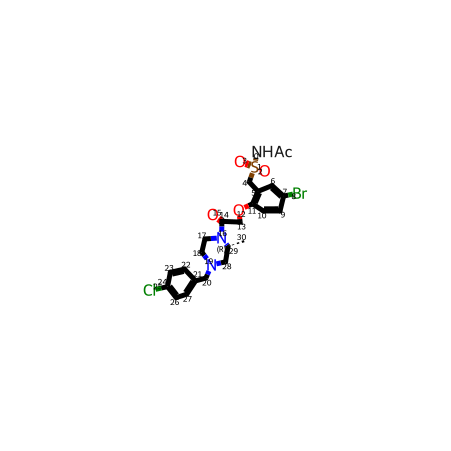 CC(=O)NS(=O)(=O)Cc1cc(Br)ccc1OCC(=O)N1CCN(Cc2ccc(Cl)cc2)C[C@H]1C